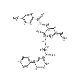 Cc1ccc(S(=O)ON[C@@H](CC(=O)NC(C)(C)C)C(=O)NCCNC(=O)c2cc(-c3ccccc3)ccn2)cc1